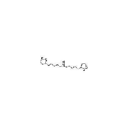 C(CCNCCCCCC1CCSS1)CCC1CCSS1